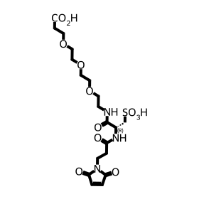 O=C(O)CCOCCOCCOCCNC(=O)[C@H](CS(=O)(=O)O)NC(=O)CCN1C(=O)C=CC1=O